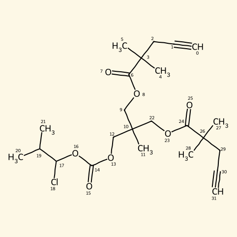 C#CCC(C)(C)C(=O)OCC(C)(COC(=O)OC(Cl)C(C)C)COC(=O)C(C)(C)CC#C